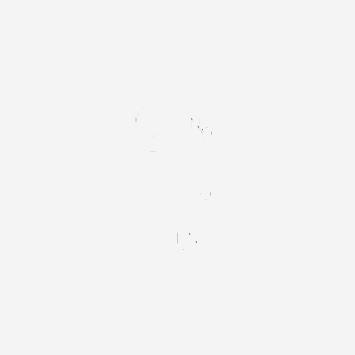 NCCOc1ccc2c(-c3ccccc3F)noc2c1I